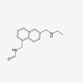 CCNCc1ccc2c(CNC=O)cccc2c1